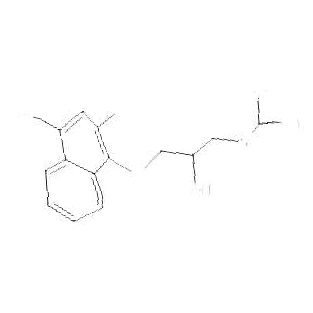 CC(C)NCC(O)COc1c(Br)cc(Br)c2ccccc12